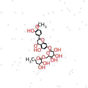 COc1ccc([C@@H]2CC(=O)c3c(O)cc(O[C@@H]4OC(CO[C@@H]5OC(C)CC(O)C5O)[C@@H](O)C(O)C4O)cc3O2)cc1O